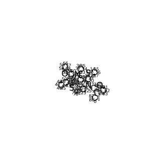 c1ccc(-c2cc(N(c3ccc4sc5ccccc5c4c3)c3cccc4c3-c3ccc(N(c5ccccc5)c5cc(-c6ccc7ccccc7c6)c6oc7ccccc7c6c5)cc3C43c4ccccc4Sc4ccccc43)cc3oc4ccccc4c23)cc1